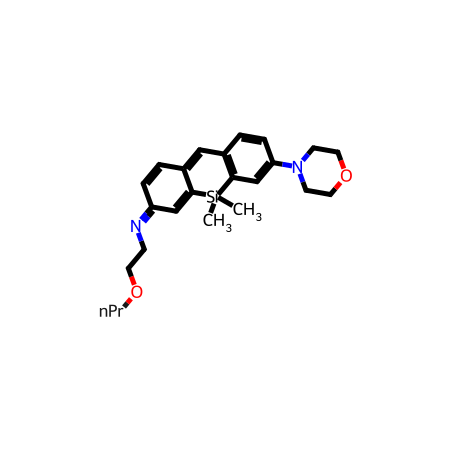 CCCOCC/N=C1/C=CC2=Cc3ccc(N4CCOCC4)cc3[Si](C)(C)C2=C1